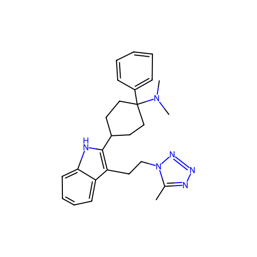 Cc1nnnn1CCc1c(C2CCC(c3ccccc3)(N(C)C)CC2)[nH]c2ccccc12